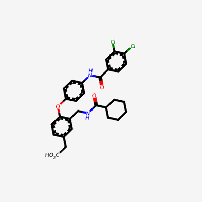 O=C(O)Cc1ccc(Oc2ccc(NC(=O)c3ccc(Cl)c(Cl)c3)cc2)c(CNC(=O)C2CCCCC2)c1